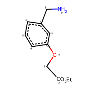 CCOC(=O)COc1cccc(CN)c1